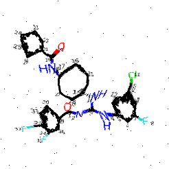 O=C(/N=C(/Nc1cc(F)cc(Cl)c1)N[C@H]1CC[C@H](NC(=O)c2ccccc2)CC1)c1ccc(F)c(F)c1